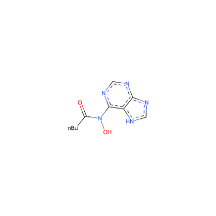 CCCCC(=O)N(O)c1ncnc2nc[nH]c12